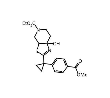 CCOC(=O)N1CCC2(O)N=C(C3(c4ccc(C(=O)OC)cc4)CC3)SC2C1